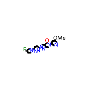 COc1cncc(N2Cc3nn(-c4ccc(N5CC[C@H](F)C5)nn4)cc3C2=O)c1